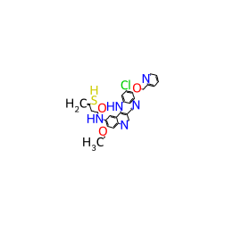 C=C(S)CC(=O)Nc1cc2c(Nc3ccc(OCc4ccccn4)c(Cl)c3)c(C#N)cnc2cc1OCC